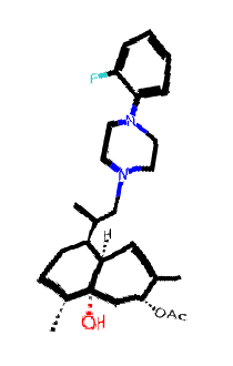 CC(=O)O[C@@H]1[CH][C@@]2(O)[C@H](C)CC[C@@H](C(C)CN3CCN(c4ccccc4F)CC3)[C@H]2C=C1C